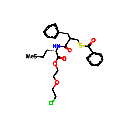 CSCC[C@H](NC(=O)C(CSC(=O)c1ccccc1)Cc1ccccc1)C(=O)OCCOCCCl